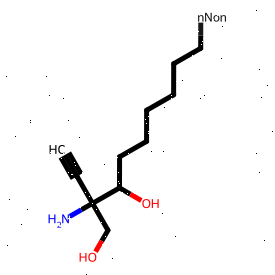 C#CC(N)(CO)C(O)CCCCCCCCCCCCCCC